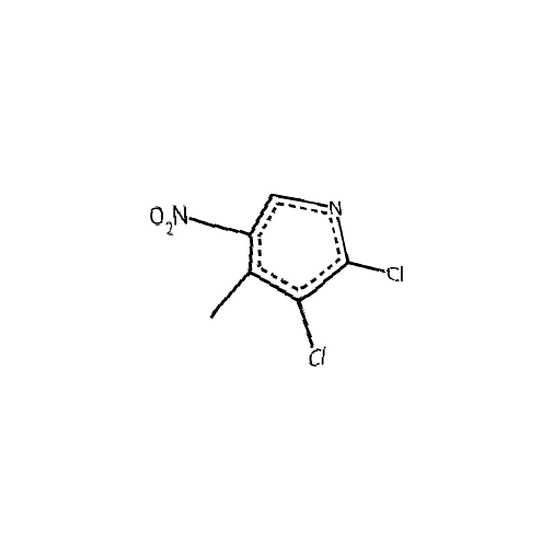 Cc1c([N+](=O)[O-])cnc(Cl)c1Cl